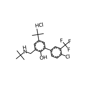 CC(C)(C)NCc1cc(C(C)(C)C)cc(-c2ccc(Cl)c(C(F)(F)F)c2)c1O.Cl